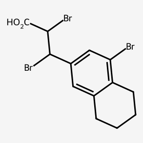 O=C(O)C(Br)C(Br)c1cc(Br)c2c(c1)CCCC2